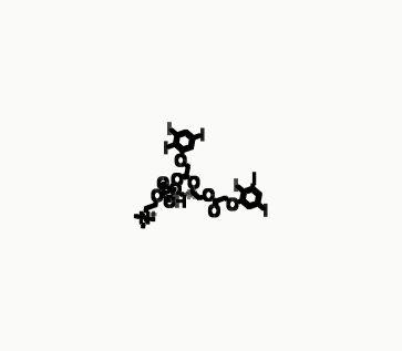 C[N+](C)(C)CCOP(=O)(O)OC[C@@H](COC(=O)COc1cc(I)cc(I)c1I)OC(=O)COc1cc(I)cc(I)c1I